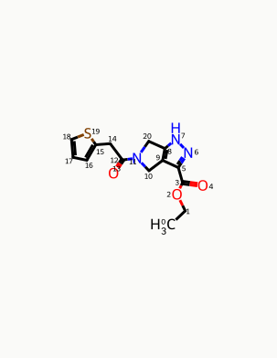 CCOC(=O)c1n[nH]c2c1CN(C(=O)Cc1cccs1)C2